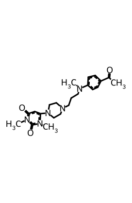 CC(=O)c1ccc(N(C)CCCN2CCN(c3cc(=O)n(C)c(=O)n3C)CC2)cc1